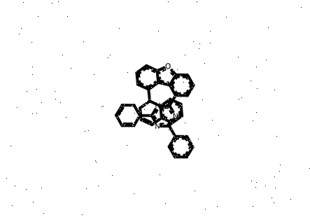 C1=CCC(c2nc(-c3ccccc3)nc(-c3cccc4oc5cccc(C6CC=Cc7ccccc76)c5c34)n2)C=C1